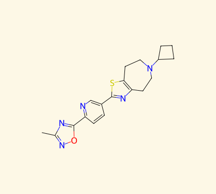 Cc1noc(-c2ccc(-c3nc4c(s3)CCN(C3CCC3)CC4)cn2)n1